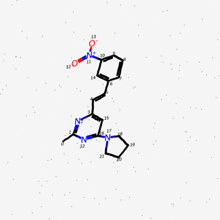 Cc1nc(C=Cc2cccc([N+](=O)[O-])c2)cc(N2CCCC2)n1